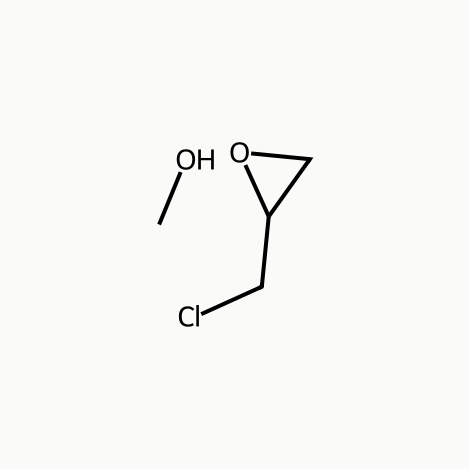 CO.ClCC1CO1